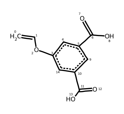 C=COc1cc(C(=O)O)cc(C(=O)O)c1